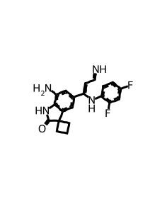 N=C/C=C(\Nc1ccc(F)cc1F)c1cc(N)c2c(c1)C1(CCC1)C(=O)N2